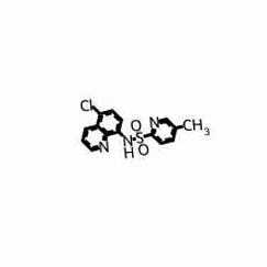 Cc1ccc(S(=O)(=O)Nc2ccc(Cl)c3cccnc23)nc1